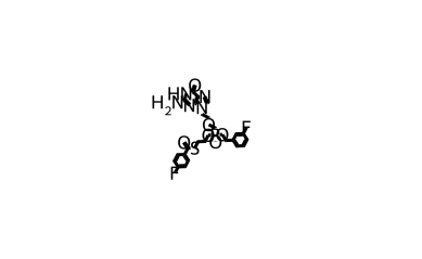 Nc1nc2c(ncn2CCOCP(=O)(OCCSC(=O)c2ccc(F)cc2)OCc2cccc(F)c2)c(=O)[nH]1